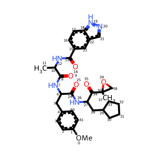 COc1ccc(CC(NC(=O)C(C)NC(=O)c2ccc3[nH]ncc3c2)C(=O)NC(CC2CCCC2)C(=O)C2(C)CO2)cc1